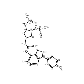 Cc1ncc2c(c1OC(=O)O[C@H]1CC(O[N+](=O)[O-])[C@@H](O[N+](=O)[O-])C1)CO[C@H]2c1ccc(Cl)cc1